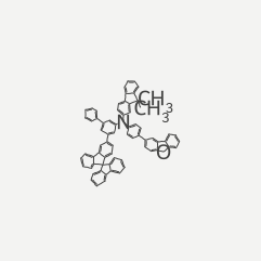 CC1(C)c2ccccc2-c2ccc(N(c3ccc(-c4ccc5oc6ccccc6c5c4)cc3)c3cc(-c4ccccc4)cc(-c4ccc5c(c4)-c4ccccc4C54c5ccccc5-c5ccccc54)c3)cc21